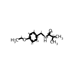 CCOc1ccc(CNC(=O)C(C)C)cc1